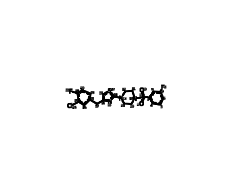 O=S(=O)(c1cccc(F)c1)N1CCN(c2nc(Cc3ccc(F)c(Cl)c3)cs2)CC1